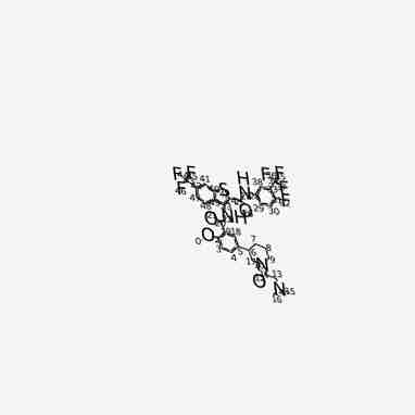 COc1ccc(C2CCCN(C(=O)CN(C)C)C2)cc1C(=O)Nc1c(C(=O)Nc2ccc(F)c(C(F)(F)F)c2)sc2cc(C(F)(F)F)ccc12